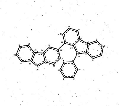 c1ccc(-n2c3ccccc3c3cccc(-c4ccc5sc6ccccc6c5c4)c32)cc1